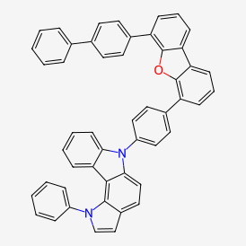 c1ccc(-c2ccc(-c3cccc4c3oc3c(-c5ccc(-n6c7ccccc7c7c8c(ccc76)ccn8-c6ccccc6)cc5)cccc34)cc2)cc1